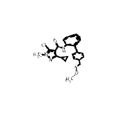 CO/N=C/c1ccc(-c2ccccc2NC(=O)c2c(C3CC3)nn(C)c2Cl)cc1